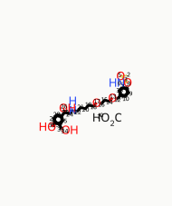 CC(=O)O.CS(=O)(=O)Nc1cccc(COCCCOCCCCCNC[C@H](O)c2ccc(O)c(CO)c2)c1